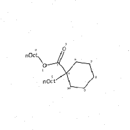 CCCCCCCCOC(=O)C1(CCCCCCCC)CCCCC1